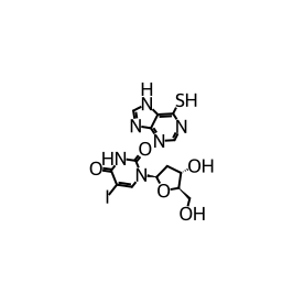 O=c1[nH]c(=O)n([C@H]2C[C@H](O)[C@@H](CO)O2)cc1I.Sc1ncnc2nc[nH]c12